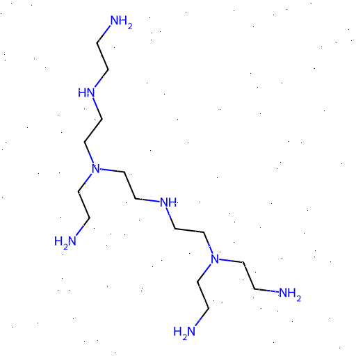 NCCNCCN(CCN)CCNCCN(CCN)CCN